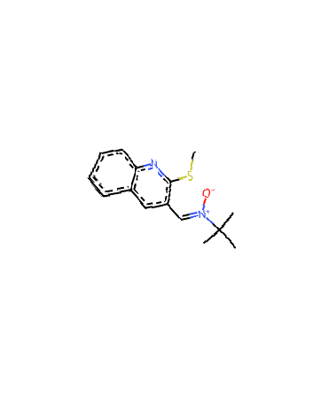 CSc1nc2ccccc2cc1/C=[N+](\[O-])C(C)(C)C